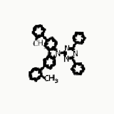 Cc1ccccc1-c1ccc2c(c1)c1cc(-c3ccccc3C)ccc1n2-c1nc(-c2ccccc2)nc(-c2ccccc2)n1